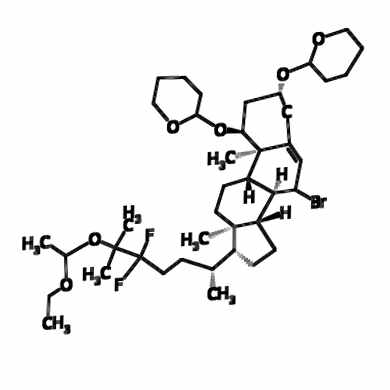 CCOC(C)OC(C)(C)C(F)(F)CC[C@@H](C)[C@H]1CC[C@H]2[C@@H]3C(Br)C=C4C[C@@H](OC5CCCCO5)C[C@H](OC5CCCCO5)[C@]4(C)[C@H]3CC[C@]12C